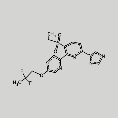 CCS(=O)(=O)c1ccc(-n2cncn2)nc1-c1ccc(OCC(C)(F)F)cn1